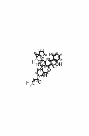 C=CC(=O)N1CCN2C(=O)c3c(C(C)N4CCCC45CC5)nc(-c4c(O)cccc4F)c(Cl)c3OC[C@H]2C1